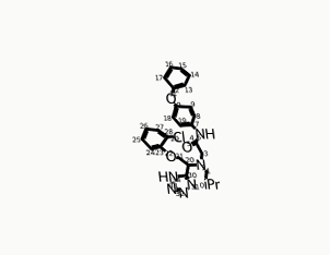 CC(C)CN(CC(=O)Nc1ccc(Oc2ccccc2)cc1)C(COc1ccccc1Cl)c1nnn[nH]1